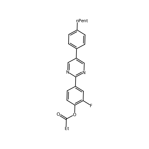 CCCCCc1ccc(-c2cnc(-c3ccc(OC(=O)CC)c(F)c3)nc2)cc1